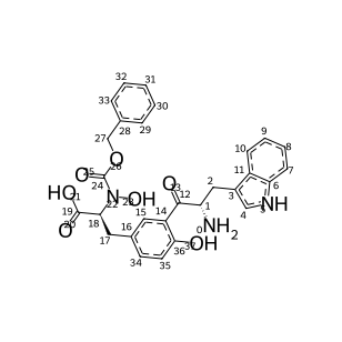 N[C@@H](Cc1c[nH]c2ccccc12)C(=O)c1cc(C[C@@H](C(=O)O)N(O)C(=O)OCc2ccccc2)ccc1O